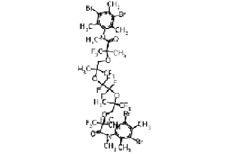 Cc1c(Br)c(C)c(N(C)C(=O)C(C)(OCC(C)(OC(F)(F)C(F)(F)OC(C)(COC(C)(C(=O)N(C)c2c(C)c(Br)c(C)c(Br)c2C)C(F)(F)F)C(F)(F)F)C(F)(F)F)C(F)(F)F)c(C)c1Br